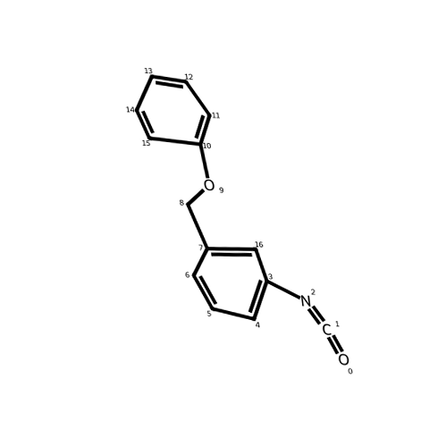 O=C=Nc1cccc(COc2ccccc2)c1